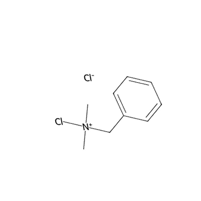 C[N+](C)(Cl)Cc1ccccc1.[Cl-]